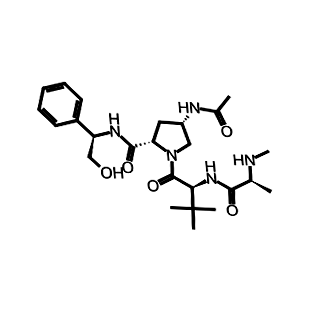 CN[C@@H](C)C(=O)N[C@H](C(=O)N1C[C@@H](NC(C)=O)C[C@H]1C(=O)N[C@@H](CO)c1ccccc1)C(C)(C)C